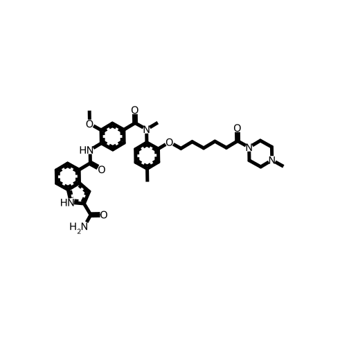 COc1cc(C(=O)N(C)c2ccc(C)cc2OCCCCCC(=O)N2CCN(C)CC2)ccc1NC(=O)c1cccc2[nH]c(C(N)=O)cc12